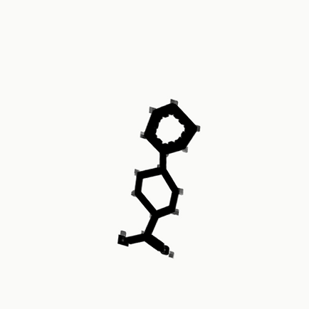 CCC(=O)C1CCC(c2ccccc2)CC1